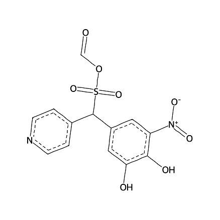 O=COS(=O)(=O)C(c1ccncc1)c1cc(O)c(O)c([N+](=O)[O-])c1